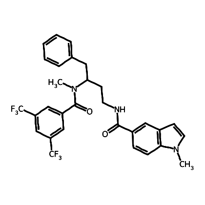 CN(C(=O)c1cc(C(F)(F)F)cc(C(F)(F)F)c1)C(CCNC(=O)c1ccc2c(ccn2C)c1)Cc1ccccc1